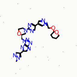 Cn1cc(-c2cnc3nnn(C[C@@H]4CN(c5ncc(-c6cnn(CCOC7CCCCO7)c6)cn5)CCO4)c3n2)cn1